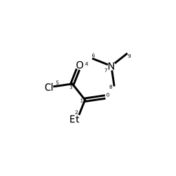 C=C(CC)C(=O)Cl.CN(C)C